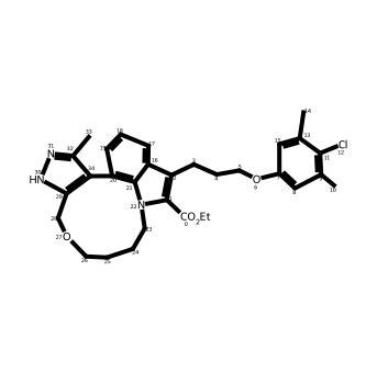 CCOC(=O)c1c(CCCOc2cc(C)c(Cl)c(C)c2)c2cccc3c2n1CCCCOCc1[nH]nc(C)c1-3